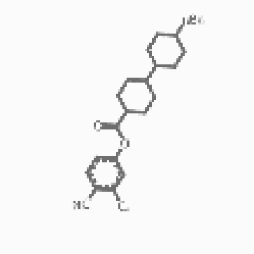 CCCCC1CCC(C2CCC(C(=O)Oc3ccc(C#N)c(Cl)c3)CC2)CC1